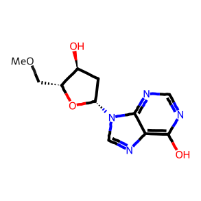 COC[C@H]1O[C@@H](n2cnc3c(O)ncnc32)C[C@@H]1O